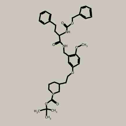 COc1ccc(OCCC2CCCN(C(=O)OC(C)(C)C)C2)cc1CNC(=O)C(CCc1ccccc1)NC(=O)OCc1ccccc1